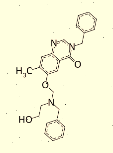 Cc1cc2ncn(Cc3ccccc3)c(=O)c2cc1OCN(CCO)Cc1ccccc1